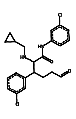 O=CCCC(c1cccc(Cl)c1)C(NCC1CC1)C(=O)Nc1cccc(Cl)c1